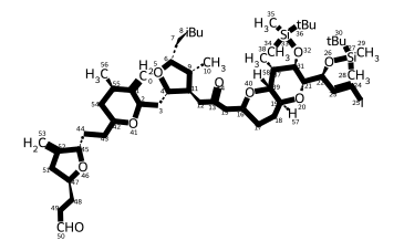 C=C1C(C[C@@H]2O[C@H](C[C@H](C)CC)[C@H](C)[C@H]2CC(=O)CC2CC[C@@H]3O[C@@H]([C@H](/C=C/I)O[Si](C)(C)C(C)(C)C)[C@@H](O[Si](C)(C)C(C)(C)C)[C@@H](C)[C@H]3O2)OC(CC[C@@H]2O[C@@H](CCC=O)CC2=C)C[C@H]1C